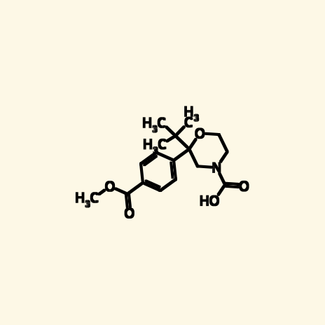 COC(=O)c1ccc(C2(C(C)(C)C)CN(C(=O)O)CCO2)cc1